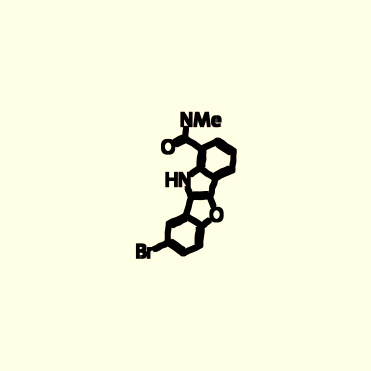 CNC(=O)c1cccc2c1[nH]c1c3cc(Br)ccc3oc21